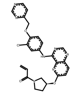 C=CC(=O)N1CC[C@H](Oc2ccc3ncnc(Nc4ccc(OCc5ccncn5)c(Cl)c4)c3n2)C1